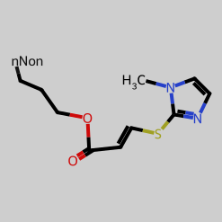 CCCCCCCCCCCCOC(=O)C=CSc1nccn1C